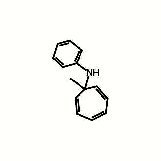 CC1(Nc2ccccc2)C=CC=CC=C1